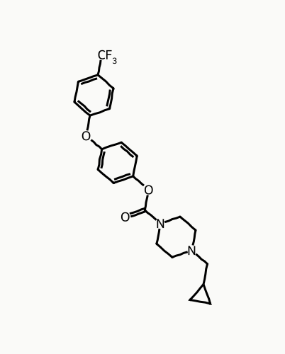 O=C(Oc1ccc(Oc2ccc(C(F)(F)F)cc2)cc1)N1CCN(CC2CC2)CC1